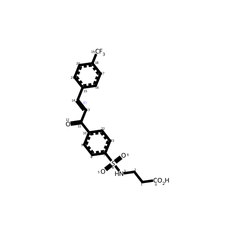 O=C(O)CCNS(=O)(=O)c1ccc(C(=O)/C=C/c2ccc(C(F)(F)F)cc2)cc1